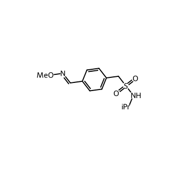 CON=Cc1ccc(CS(=O)(=O)NC(C)C)cc1